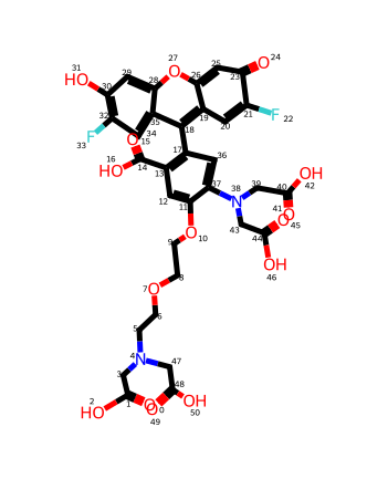 O=C(O)CN(CCOCCOc1cc(C(=O)O)c(-c2c3cc(F)c(=O)cc-3oc3cc(O)c(F)cc23)cc1N(CC(=O)O)CC(=O)O)CC(=O)O